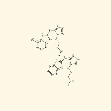 COCCCn1nnnc1Sc1nc2c(Cl)cccc2s1.COCCCn1nnnc1Sc1nc2ccccc2s1